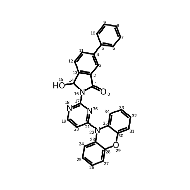 O=C1c2cc(-c3ccccc3)ccc2C(O)N1c1nccc(N2c3ccccc3Oc3ccccc32)n1